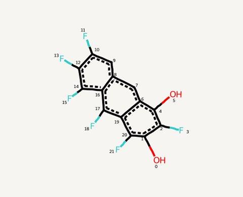 Oc1c(F)c(O)c2cc3cc(F)c(F)c(F)c3c(F)c2c1F